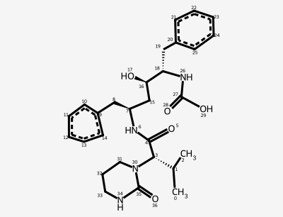 CC(C)[C@@H](C(=O)N[C@@H](Cc1ccccc1)C[C@@H](O)[C@H](Cc1ccccc1)NC(=O)O)N1CCCNC1=O